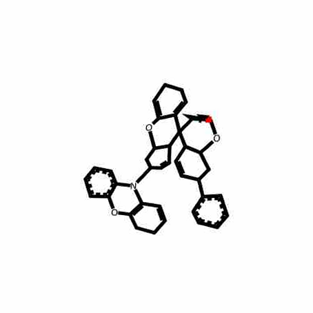 C1=CC2OC3CC(c4ccccc4)C=CC3C3(C4=CCCC=C4OC4CC(N5C6=C(CCC=C6)Oc6ccccc65)C=CC43)C2C=C1